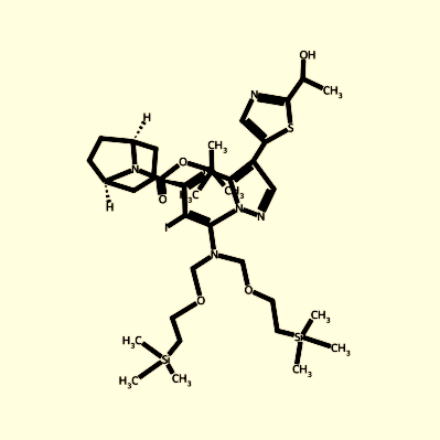 CC(O)c1ncc(-c2cnn3c(N(COCC[Si](C)(C)C)COCC[Si](C)(C)C)c(I)c([C@H]4C[C@H]5CC[C@@H](C4)N5C(=O)OC(C)(C)C)nc23)s1